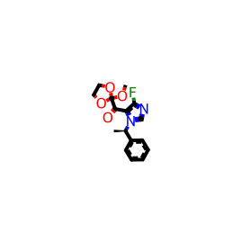 COC1(C(=O)c2c(F)ncn2[C@H](C)c2ccccc2)OCCO1